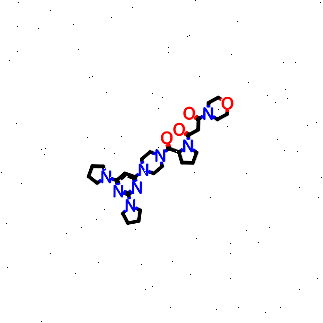 O=C(CC(=O)N1CCCC1C(=O)N1CCN(c2cc(N3CCCC3)nc(N3CCCC3)n2)CC1)N1CCOCC1